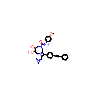 COc1ccc(NC(=O)N2CC(O)C(O)CN3C(CN(C)C)C(c4ccc(C#Cc5ccccc5)cc4)C3C2)cc1